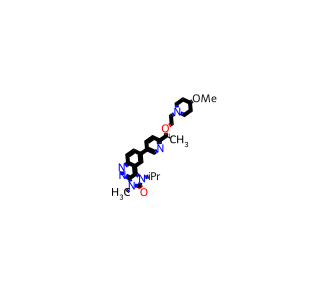 COC1CCN(CCO[C@H](C)c2ccc(-c3ccc4nnc5c(c4c3)n(C(C)C)c(=O)n5C)cn2)CC1